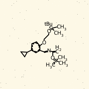 C=C(/N=C/c1cc(C2CC2)ccc1OCCO[Si](C)(C)C(C)(C)C)O[Si](C)(C)C